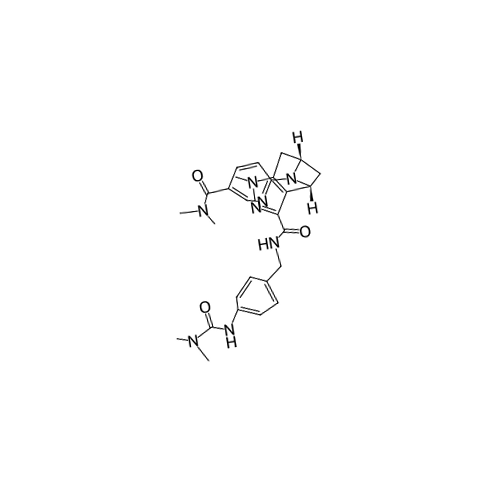 CN(C)C(=O)Nc1ccc(CNC(=O)c2nn(C)c3c2[C@H]2C[C@@H](C3)N2c2ccc(C(=O)N(C)C)cn2)cc1